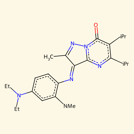 CCN(CC)c1ccc(N=C2C(C)=Nn3c2nc(C(C)C)c(C(C)C)c3=O)c(NC)c1